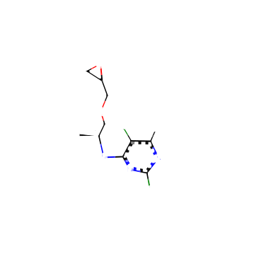 C[C@@H](COCC1CO1)Nc1nc(Cl)nc(C(=O)[O-])c1Cl.[Li+]